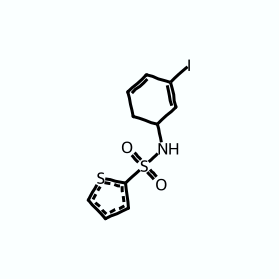 O=S(=O)(NC1C=C(I)C=CC1)c1cccs1